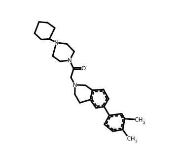 Cc1ccc(-c2ccc3c(c2)CCN(CC(=O)N2CCN(C4CCCCC4)CC2)C3)cc1C